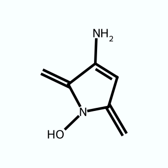 C=c1cc(N)c(=C)n1O